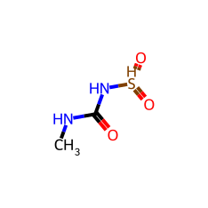 CNC(=O)N[SH](=O)=O